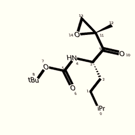 CC(C)CC[C@H](NC(=O)OC(C)(C)C)C(=O)[C@@]1(C)CO1